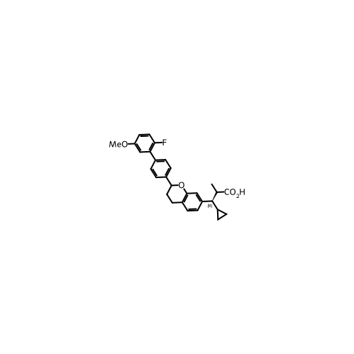 COc1ccc(F)c(-c2ccc(C3CCc4ccc([C@H](C5CC5)C(C)C(=O)O)cc4O3)cc2)c1